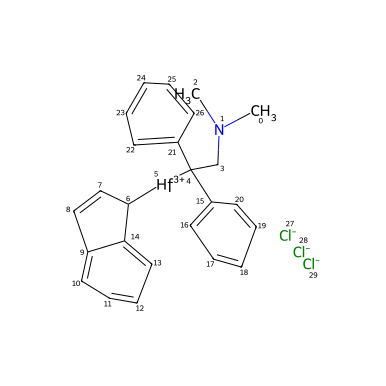 CN(C)C[C]([Hf+3][CH]1C=Cc2ccccc21)(c1ccccc1)c1ccccc1.[Cl-].[Cl-].[Cl-]